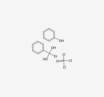 CCC(O)(O)c1ccccc1.O=P(Cl)(Cl)Cl.Oc1ccccc1